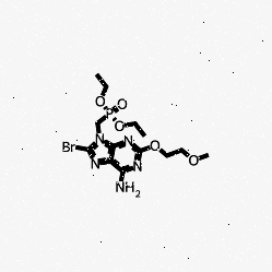 CCOP(=O)(Cn1c(Br)nc2c(N)nc(OCCOC)nc21)OCC